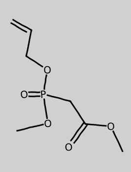 C=CCOP(=O)(CC(=O)OC)OC